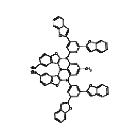 Cc1cc2c3c(c1)N(c1cc(-c4cc5ccccc5o4)cc(-c4cc5ccccc5o4)c1)c1oc4ccc(C(C)(C)C)cc4c1B3c1c(oc3ccc(C(C)(C)C)cc13)N2c1cc(-c2cc3ccccc3o2)cc(-c2cc3ccccc3o2)c1